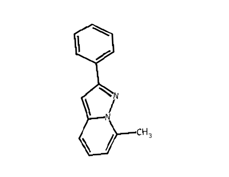 Cc1cccc2cc(-c3ccccc3)nn12